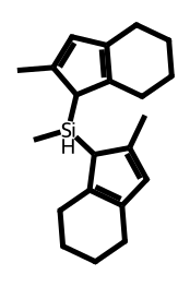 CC1=CC2=C(CCCC2)C1[SiH](C)C1C(C)=CC2=C1CCCC2